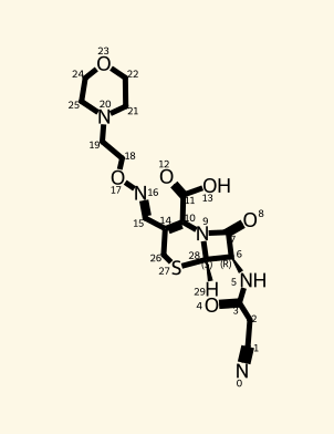 N#CCC(=O)N[C@@H]1C(=O)N2C(C(=O)O)=C(C=NOCCN3CCOCC3)CS[C@@H]12